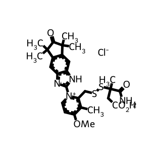 COc1cc[n+](-c2nc3cc4c(cc3[nH]2)C(C)(C)C(=O)C4(C)C)c(CSSC(C)(CC(=O)O)C(N)=O)c1C.[Cl-]